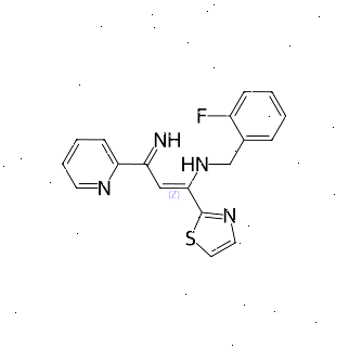 N=C(/C=C(\NCc1ccccc1F)c1nccs1)c1ccccn1